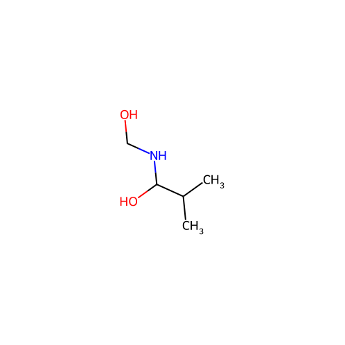 CC(C)C(O)NCO